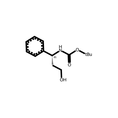 CC(C)(C)OC(=O)N[C@H](CCO)c1ccccc1